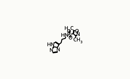 Cc1noc(C)c1S(=O)(=O)NCCCc1c[nH]c2nccnc12